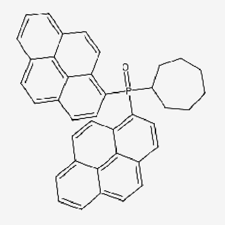 O=P(c1ccc2ccc3cccc4ccc1c2c34)(c1ccc2ccc3cccc4ccc1c2c34)C1CCCCCC1